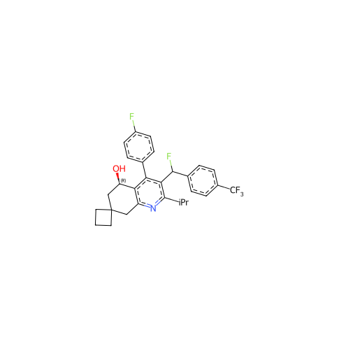 CC(C)c1nc2c(c(-c3ccc(F)cc3)c1C(F)c1ccc(C(F)(F)F)cc1)[C@H](O)CC1(CCC1)C2